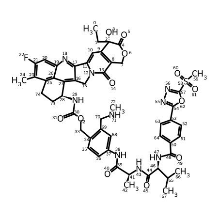 CC[C@@]1(O)C(=O)OCc2c1cc1n(c2=O)Cc2c-1nc1cc(F)c(C)c3c1c2[C@@H](NC(=O)OCc1ccc(NC(=O)[C@H](C)NC(=O)[C@@H](NC(=O)c2ccc(-c4nnc(S(C)(=O)=O)o4)cc2)C(C)C)cc1CNC)CC3